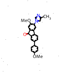 COc1ccc(-c2ccc3c(c2)C(=O)c2cc(OC)c(-n4cnc(C)c4)cc2-3)cc1